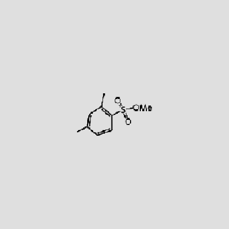 COS(=O)(=O)c1ccc(C)cc1C